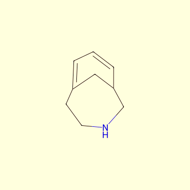 C1=CC2CNCCC(=C1)C2